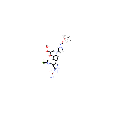 CCNC(=O)Nc1cc(-c2nc(C(F)(F)F)cs2)c(-c2ccc3c(c2)c(=O)c(C(=O)OCC)cn3[C@@H]2CCCN(CCO[Si](C)(C)C(C)(C)C)C2)cn1